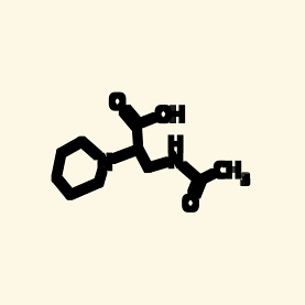 CC(=O)NCC(C(=O)O)N1CCCCC1